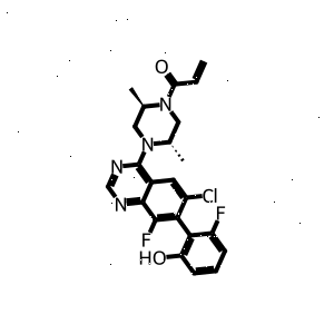 C=CC(=O)N1C[C@H](C)N(c2ncnc3c(F)c(-c4c(O)cccc4F)c(Cl)cc23)C[C@H]1C